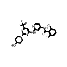 O=C(Nc1ccnc(Nc2cc(C(F)(F)F)nc(N3CCC(O)CC3)n2)c1)c1c(Cl)cccc1Cl